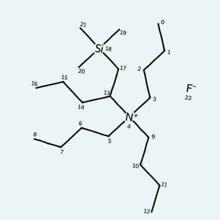 CCCC[N+](CCCC)(CCCC)C(CCC)C[Si](C)(C)C.[F-]